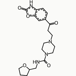 O=C(CCN1CCN(C(=O)NCC2CCCO2)CC1)c1ccc2[nH]c(=O)oc2c1